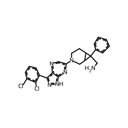 NCC1(c2ccccc2)C2CCN(c3cnc4c(-c5cccc(Cl)c5Cl)n[nH]c4n3)CC21